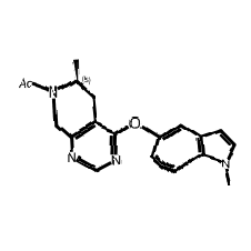 CC(=O)N1Cc2ncnc(Oc3ccc4c(ccn4C)c3)c2C[C@@H]1C